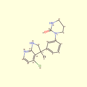 CCC1(c2cccc(N3CCCNC3=O)c2)CNc2nccc(Cl)c21